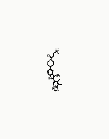 CCN(C)CCC(=O)N1CCC(c2ccc3[nH]c(-c4cn5ncnc5c(C)c4C)c(C(C)C)c3c2)CC1